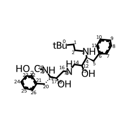 CC(C)(C)CCN[C@@H](Cc1ccccc1)C(O)CNC[C@@H](O)[C@H](Cc1ccccc1)NC(=O)O